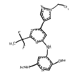 COc1cnc(NC(C)=O)cc1Nc1cc(-c2cnn(CC(F)(F)F)c2)nc(C(C)(F)F)n1